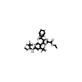 CCOC(=O)c1nc(C(=O)N2C3CCC2CC3)c(-c2cnc(N[C@@H](CC)C(F)(F)F)cc2C(F)(F)F)s1